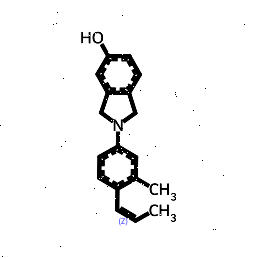 C/C=C\c1ccc(N2Cc3ccc(O)cc3C2)cc1C